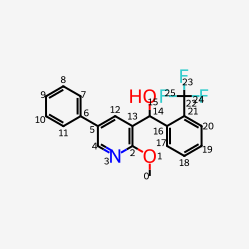 COc1ncc(-c2ccccc2)cc1C(O)c1ccccc1C(F)(F)F